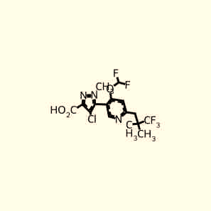 Cn1nc(C(=O)O)c(Cl)c1-c1cnc(CC(C)(C)C(F)(F)F)cc1OC(F)F